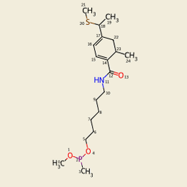 COP(C)OCCCCCCNC(=O)C1=CC=C(C(C)SC)CC1C